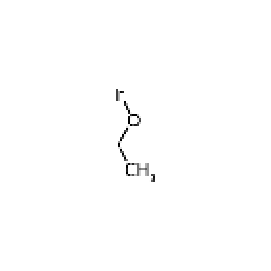 CC[O][Ir]